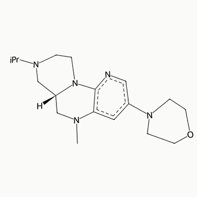 CC(C)N1CCN2c3ncc(N4CCOCC4)cc3N(C)C[C@@H]2C1